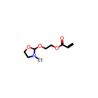 C=CC(=O)OCCOC1OCCN1CC